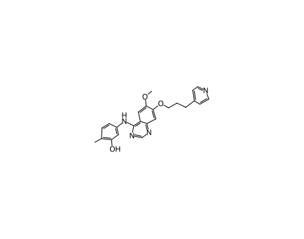 COc1cc2c(Nc3ccc(C)c(O)c3)ncnc2cc1OCCCc1ccncc1